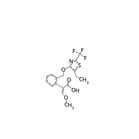 CCc1sc(C(F)(F)F)nc1OCc1ccccc1C(=COC)C(=O)O